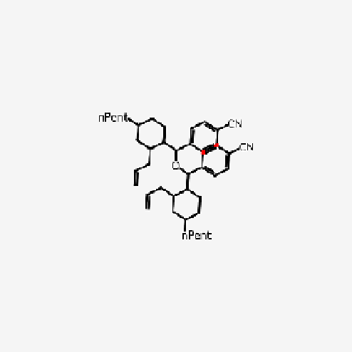 C=CCC1CC(CCCCC)CCC1C(OC(c1ccc(C#N)cc1)C1CCC(CCCCC)CC1CC=C)c1ccc(C#N)cc1